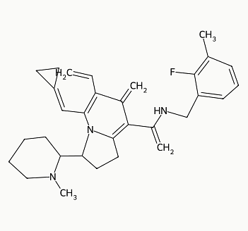 C=CC1=C(C=C2CC2)N2C(=C(C(=C)NCc3cccc(C)c3F)C1=C)CCC2C1CCCCN1C